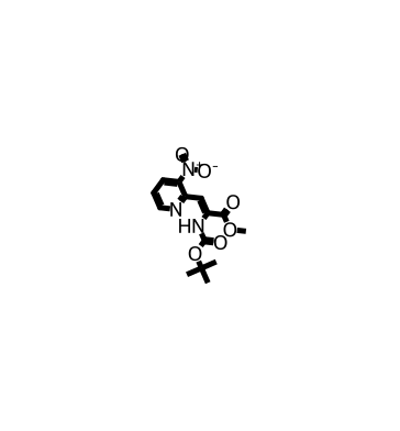 COC(=O)/C(=C/c1ncccc1[N+](=O)[O-])NC(=O)OC(C)(C)C